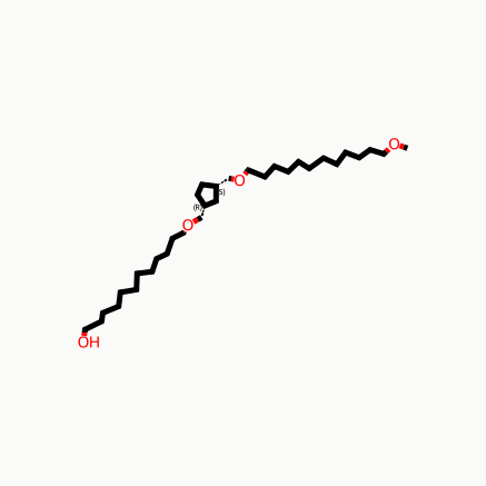 COCCCCCCCCCCCCOC[C@H]1CC[C@@H](COCCCCCCCCCCCCO)C1